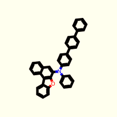 c1ccc(-c2ccc(-c3ccc(N(c4ccccc4)c4cc5ccccc5c5c4oc4ccccc45)cc3)cc2)cc1